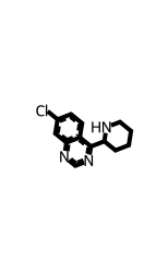 Clc1ccc2c(C3CCCCN3)ncnc2c1